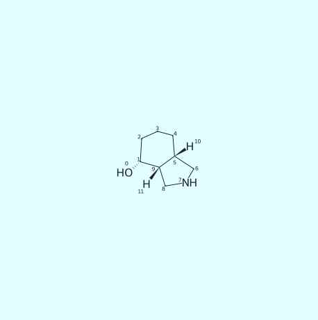 O[C@@H]1CCC[C@@H]2CNC[C@@H]21